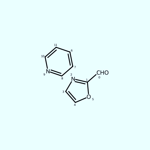 O=Cc1ncco1.c1ccncc1